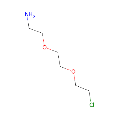 NCCOCCOCCCl